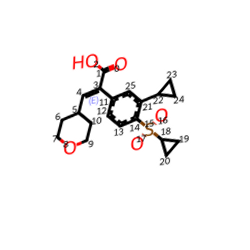 O=C(O)/C(=C/C1CCOCC1)c1ccc(S(=O)(=O)C2CC2)c(C2CC2)c1